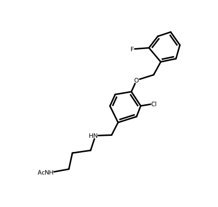 CC(=O)NCCCNCc1ccc(OCc2ccccc2F)c(Cl)c1